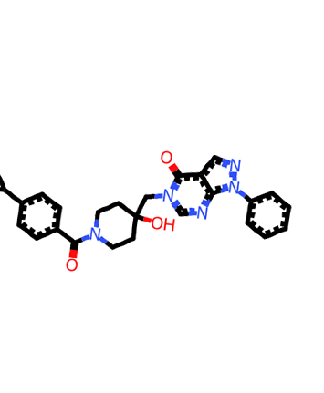 O=C(c1ccc(C2CC2)cc1)N1CCC(O)(Cn2cnc3c(cnn3-c3ccccc3)c2=O)CC1